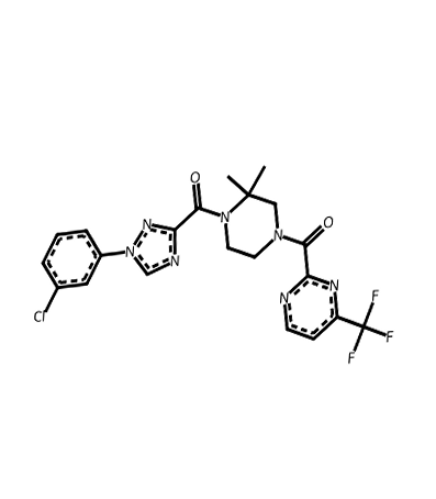 CC1(C)CN(C(=O)c2nccc(C(F)(F)F)n2)CCN1C(=O)c1ncn(-c2cccc(Cl)c2)n1